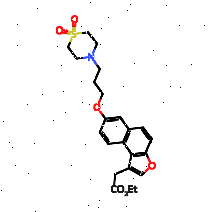 CCOC(=O)Cc1coc2ccc3cc(OCCCN4CCS(=O)(=O)CC4)ccc3c12